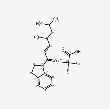 CC(C)CC(N)C=CC(=O)N1CCc2ccccc21.O=C(O)C(F)(F)F